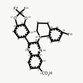 O=C(O)c1ccc2nc(-c3ccc4c(c3)OC(F)(F)O4)c(N3CCCc4cc(F)ccc43)nc2c1